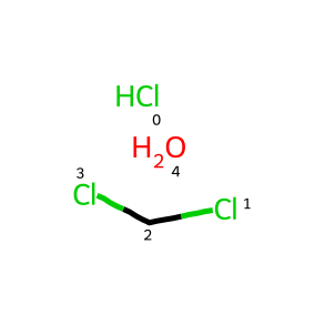 Cl.ClCCl.O